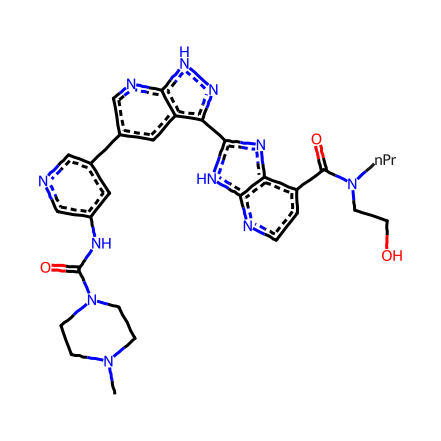 CCCN(CCO)C(=O)c1ccnc2[nH]c(-c3n[nH]c4ncc(-c5cncc(NC(=O)N6CCN(C)CC6)c5)cc34)nc12